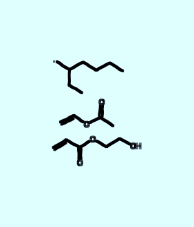 C=CC(=O)OCCO.C=COC(C)=O.[CH2]C(CC)CCCC